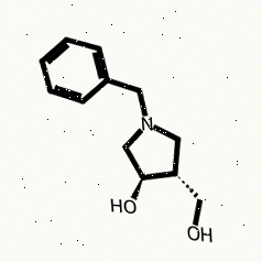 OC[C@H]1CN(Cc2ccccc2)C[C@@H]1O